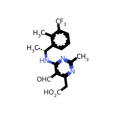 Cc1nc(CC(=O)O)c(C=O)c(N[C@H](C)c2cccc(C(F)(F)F)c2C)n1